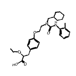 CCOC(Cc1ccc(OCCN(CC2CCCCC2)C(=O)Nc2ccccc2C)cc1)C(=O)O